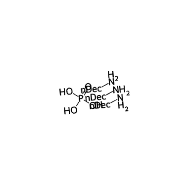 CCCCCCCCCCN.CCCCCCCCCCN.CCCCCCCCCCN.O=P(O)(O)O